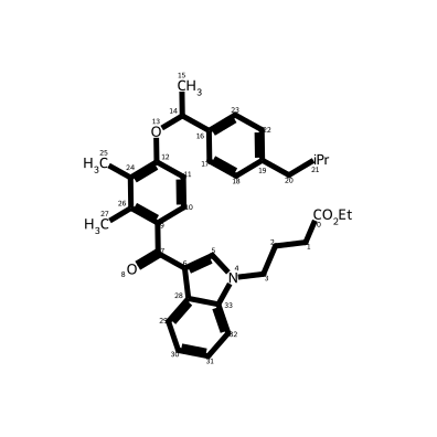 CCOC(=O)CCCn1cc(C(=O)c2ccc(OC(C)c3ccc(CC(C)C)cc3)c(C)c2C)c2ccccc21